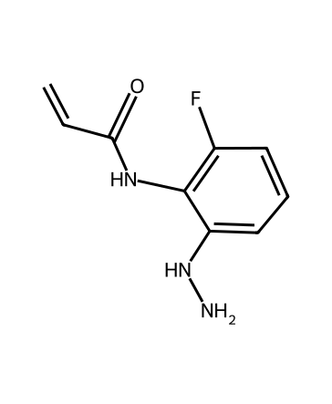 C=CC(=O)Nc1c(F)cccc1NN